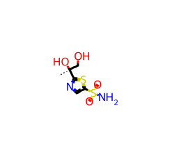 C[C@](O)(CO)c1ncc(S(N)(=O)=O)s1